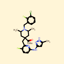 COC(=O)C1(Cc2nc(Nc3cc(C)[nH]n3)ccc2F)CC(C)N(Cc2cccc(Cl)c2F)C(C)C1